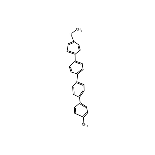 COc1ccc(-c2ccc(-c3ccc(-c4ccc(C)cc4)cc3)cc2)cc1